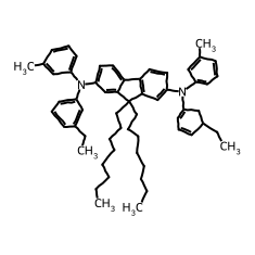 CCCCCCCCC1(CCCCCCCC)c2cc(N(C3=CC=CC(CC)C3)c3cccc(C)c3)ccc2-c2ccc(N(c3cccc(C)c3)c3cccc(CC)c3)cc21